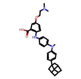 CN(C)CCOc1ccc(Nc2ccc(N(C)c3ccc(C45CC6CC7CC(C4)C765)cc3)cc2)c(C(=O)O)c1